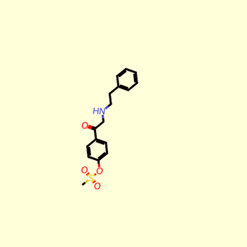 CS(=O)(=O)Oc1ccc(C(=O)CNCCc2ccccc2)cc1